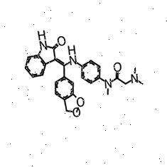 CN(C)CC(=O)N(C)c1ccc(N/C(=C2\C(=O)Nc3ccccc32)c2ccc3c(c2)OOC3)cc1